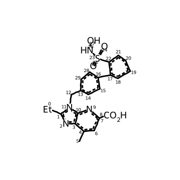 CCc1nc2c(C)cc(C(=O)O)nc2n1Cc1ccc(-c2ccccc2S(=O)(=O)NO)cc1